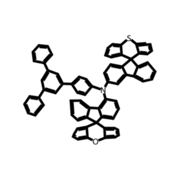 c1ccc(-c2cc(-c3ccccc3)cc(-c3ccc(N(c4ccc5c(c4)-c4ccccc4C54c5ccccc5Sc5ccccc54)c4cccc5c4-c4ccccc4C54c5ccccc5Oc5ccccc54)cc3)c2)cc1